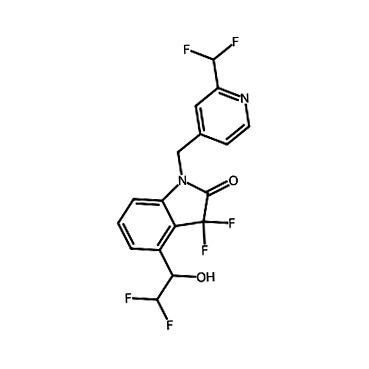 O=C1N(Cc2ccnc(C(F)F)c2)c2cccc(C(O)C(F)F)c2C1(F)F